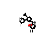 C[C@H]1CC2C[C@@H](C1)N2C(=O)Nc1ccc(C2CC2)c(-c2cncc(F)c2)c1